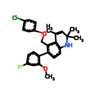 COc1cc(F)ccc1-c1ccc2c(c1COc1ccc(Cl)cc1)C(C)=CC(C)(C)N2